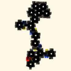 O=P(c1ccccc1)(c1ccccc1)c1cccc(-c2cc(-c3nc4ccccc4s3)cc(-c3nc4cc(-c5ccc6sc(-c7cc(-c8ccc(-c9cc(-c%10ccccc%10)c(-c%10ccccc%10)c(-c%10ccccc%10)c9-c9ccccc9)cc8)cc(-c8nc9ccccc9s8)c7)nc6c5)ccc4s3)c2)c1